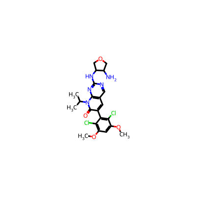 COc1cc(OC)c(Cl)c(-c2cc3cnc(NC4COCC4N)nc3n(C(C)C)c2=O)c1Cl